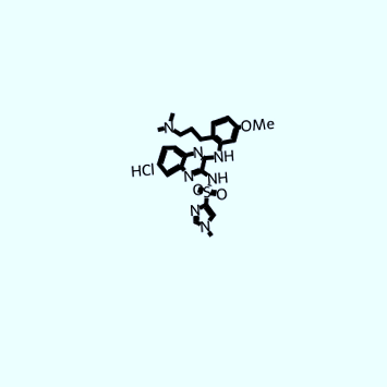 COc1ccc(CCCN(C)C)c(Nc2nc3ccccc3nc2NS(=O)(=O)c2cn(C)cn2)c1.Cl